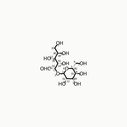 O=C[C@@H](OC1O[C@H](CO)[C@@H](O)[C@H](O)[C@@H]1O)[C@@H](O)[C@H](O)[C@H](O)CO